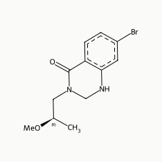 CO[C@H](C)CN1CNc2cc(Br)ccc2C1=O